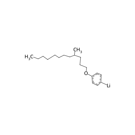 [Li][c]1ccc(OCCCC(C)CCCCCCCC)cc1